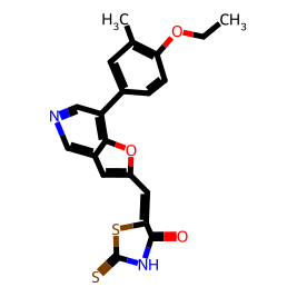 CCOc1ccc(-c2cncc3cc(/C=C4\SC(=S)NC4=O)oc23)cc1C